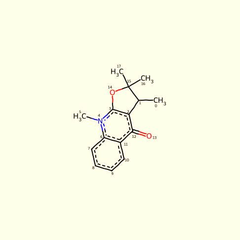 CC1c2c(n(C)c3ccccc3c2=O)OC1(C)C